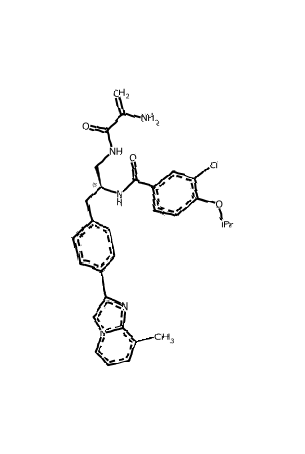 C=C(N)C(=O)NC[C@H](Cc1ccc(-c2cn3cccc(C)c3n2)cc1)NC(=O)c1ccc(OC(C)C)c(Cl)c1